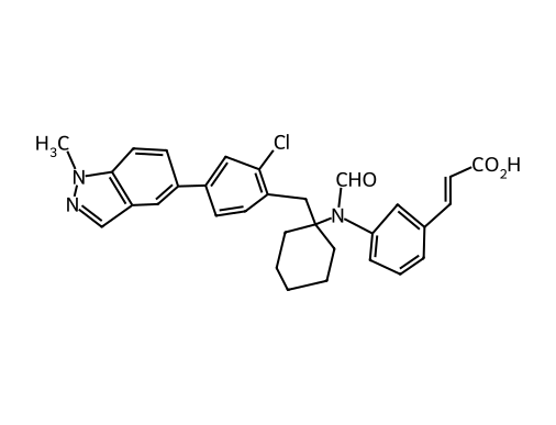 Cn1ncc2cc(-c3ccc(CC4(N(C=O)c5cccc(/C=C/C(=O)O)c5)CCCCC4)c(Cl)c3)ccc21